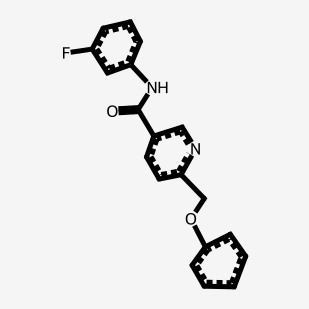 O=C(Nc1cccc(F)c1)c1ccc(COc2ccccc2)nc1